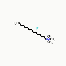 CCCCCCCCCCCCCCC[N+](C)(C)C.[F-]